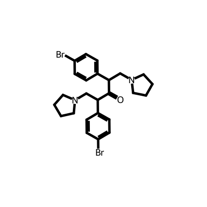 O=C(C(CN1CCCC1)c1ccc(Br)cc1)C(CN1CCCC1)c1ccc(Br)cc1